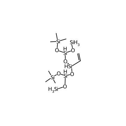 C=C[SiH](O[SiH](O[SiH3])O[Si](C)(C)C)O[SiH](O[SiH3])O[Si](C)(C)C